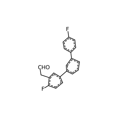 O=CCc1cc(-c2cccc(-c3ccc(F)cc3)c2)ccc1F